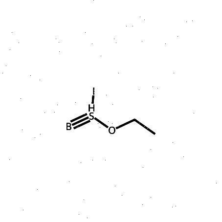 B#[SH](I)OCC